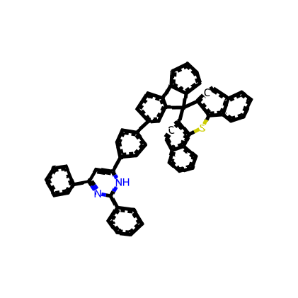 C1=C(c2ccc(-c3ccc4c(c3)C3(c5ccccc5-4)c4ccc5ccccc5c4Sc4c3ccc3ccccc43)cc2)NC(c2ccccc2)N=C1c1ccccc1